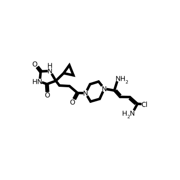 N/C(Cl)=C\C=C(/N)N1CCN(C(=O)CCC2(C3CC3)NC(=O)NC2=O)CC1